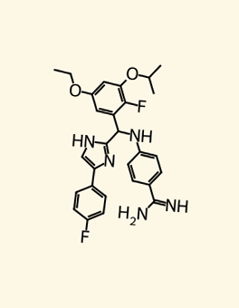 CCOc1cc(OC(C)C)c(F)c(C(Nc2ccc(C(=N)N)cc2)c2nc(-c3ccc(F)cc3)c[nH]2)c1